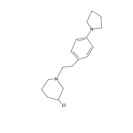 ClC1CCCN(CCc2ccc(N3CCCC3)cc2)C1